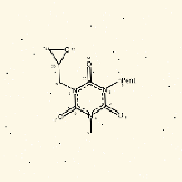 CCCCCn1c(=O)n(C)c(=O)n(CC2CO2)c1=O